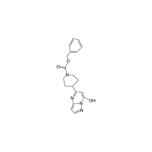 O=C(OCc1ccccc1)N1CCC(c2cc(O)n3nccc3n2)CC1